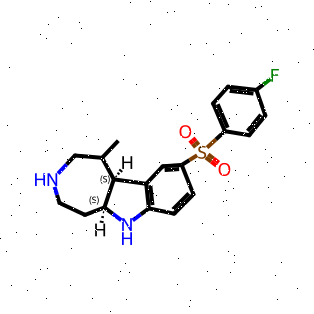 CC1CNCC[C@@H]2Nc3ccc(S(=O)(=O)c4ccc(F)cc4)cc3[C@H]12